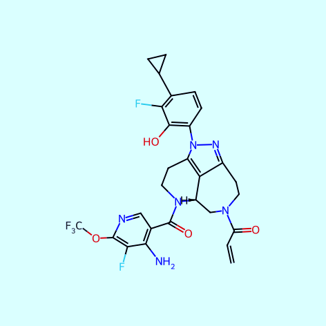 C=CC(=O)N1CCc2nn(-c3ccc(C4CC4)c(F)c3O)c3c2[C@H](C1)N(C(=O)c1cnc(OC(F)(F)F)c(F)c1N)CC3